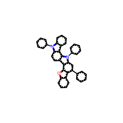 c1ccc(-c2cc3c(c4ccc5c(c6ccccc6n5-c5ccccc5)c4n3-c3ccccc3)c3oc4ccccc4c23)cc1